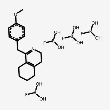 COc1ccc(CC2=NCCC3=C2CCCC3)cc1.OB(O)F.OB(O)F.OB(O)F.OB(O)F